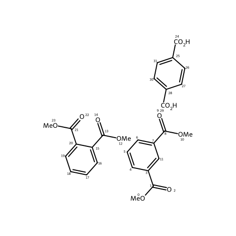 COC(=O)c1cccc(C(=O)OC)c1.COC(=O)c1ccccc1C(=O)OC.O=C(O)c1ccc(C(=O)O)cc1